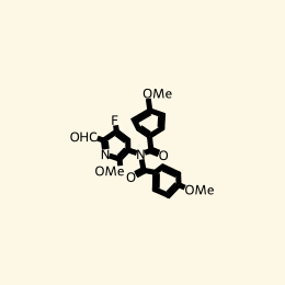 COc1ccc(C(=O)N(C(=O)c2ccc(OC)cc2)c2cc(F)c(C=O)nc2OC)cc1